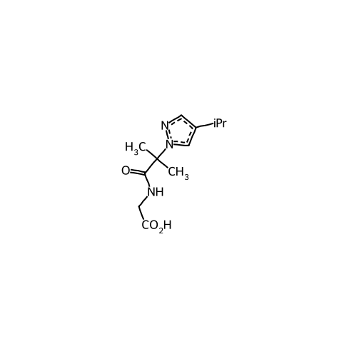 CC(C)c1cnn(C(C)(C)C(=O)NCC(=O)O)c1